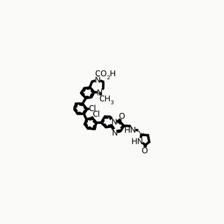 CN1CCN(C(=O)O)Cc2ccc(-c3cccc(-c4cccc(-c5ccn6c(=O)c(CNC[C@@H]7CCC(=O)N7)cnc6c5)c4Cl)c3Cl)cc21